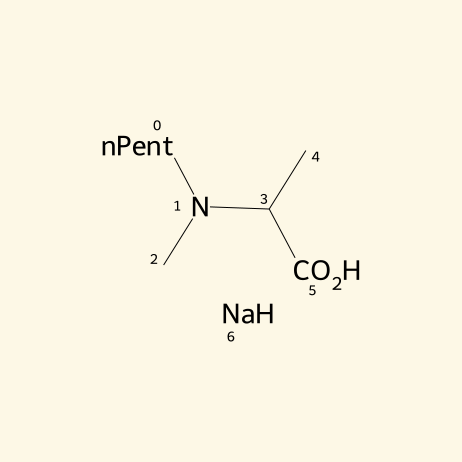 CCCCCN(C)C(C)C(=O)O.[NaH]